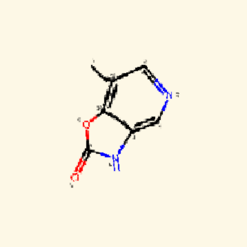 Cc1cncc2[nH]c(=O)oc12